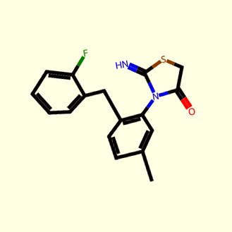 Cc1ccc(Cc2ccccc2F)c(N2C(=N)SCC2=O)c1